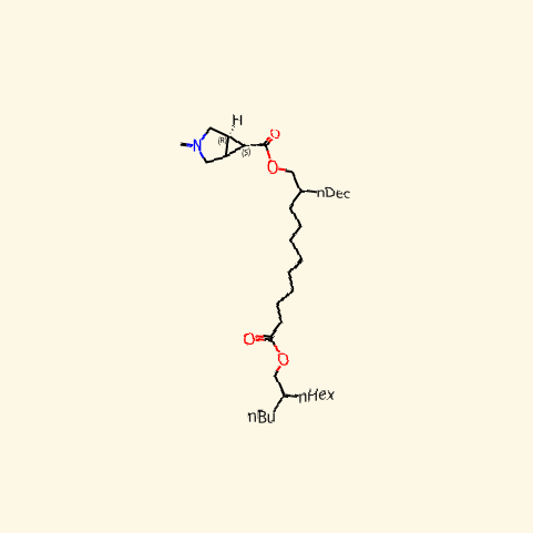 CCCCCCCCCCC(CCCCCCCCC(=O)OCC(CCCC)CCCCCC)COC(=O)[C@H]1C2CN(C)C[C@H]21